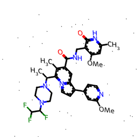 COc1cc(-c2ccn3c(C(C)N4CCN(C(F)C(F)F)CC4)c(C)c(C(=O)NCc4c(OC)cc(C)[nH]c4=O)cc23)ccn1